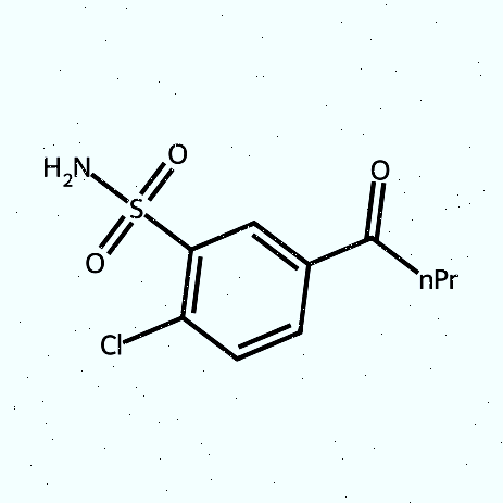 CCCC(=O)c1ccc(Cl)c(S(N)(=O)=O)c1